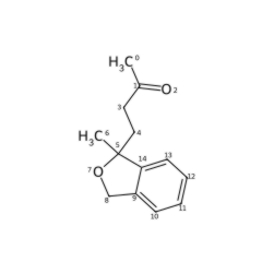 CC(=O)CCC1(C)OCc2ccccc21